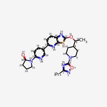 CC(C)c1noc(N2CCC(C(C)Oc3nc4ccc(-c5ccc(N6CCCC6=O)nc5)nc4s3)CC2)n1